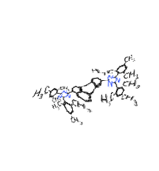 Cc1cc(C)c(-c2nc(-c3ccc4c(c3)-c3cccc5c(-c6nc(-c7c(C)cc(C)cc7C)nc(-c7c(C)cc(C)cc7C)n6)ccc-4c35)nc(-c3c(C)cc(C)cc3C)n2)c(C)c1